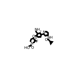 NCc1cc(-c2cc(NC(=O)C3CC3)ccn2)ccc1O[C@H]1CCN(C(=O)CO)CC1(F)F